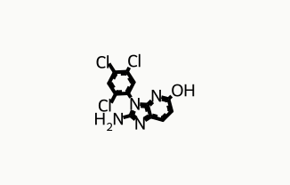 Nc1nc2ccc(O)nc2n1-c1cc(Cl)c(Cl)cc1Cl